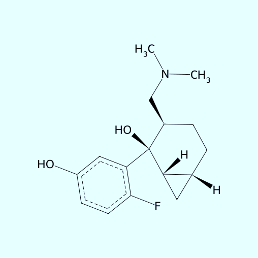 CN(C)C[C@H]1CC[C@@H]2C[C@@H]2[C@]1(O)c1cc(O)ccc1F